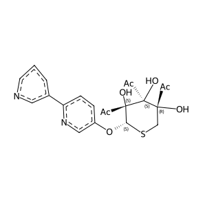 CC(=O)[C@]1(O)[C@@](O)(C(C)=O)CS[C@H](Oc2ccc(-c3cccnc3)nc2)[C@@]1(O)C(C)=O